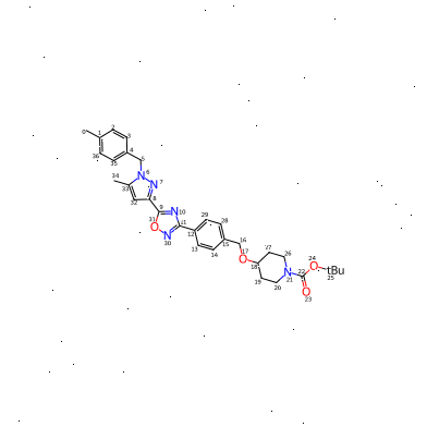 Cc1ccc(Cn2nc(-c3nc(-c4ccc(COC5CCN(C(=O)OC(C)(C)C)CC5)cc4)no3)cc2C)cc1